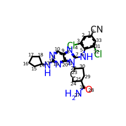 N#Cc1cc(Cl)c(Nc2nc3cnc(NC4CCCC4)nc3n2C2CCC(C(N)=O)CC2)c(Cl)c1